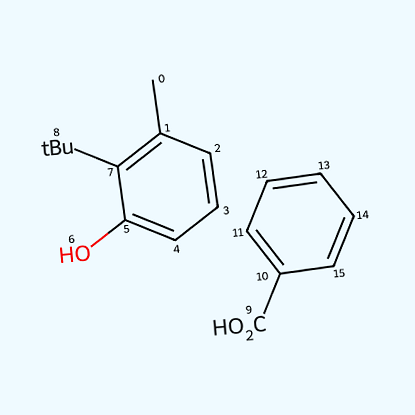 Cc1cccc(O)c1C(C)(C)C.O=C(O)c1ccccc1